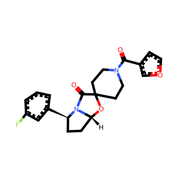 O=C(c1ccoc1)N1CCC2(CC1)O[C@@H]1CC[C@@H](c3cccc(F)c3)N1C2=O